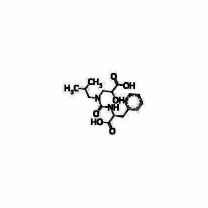 CC(C)CN(CC(O)C(=O)O)C(=O)N[C@@H](Cc1ccccc1)C(=O)O